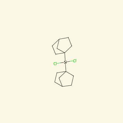 Cl[Si](Cl)(C12CCC(CC1)C2)C12CCC(CC1)C2